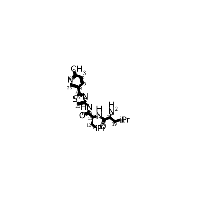 Cc1ccc(-c2nc(NC(=O)[C@H](CC(C)C)NC(=O)[C@@H](N)CC(C)C)cs2)cn1